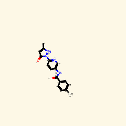 Cc1cc(=O)n(-c2ccc(NC(=O)c3ccc(C#N)cc3)cn2)[nH]1